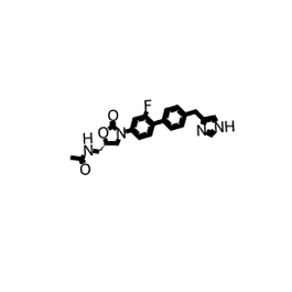 CC(=O)NC[C@H]1CN(c2ccc(-c3ccc(Cc4c[nH]cn4)cc3)c(F)c2)C(=O)O1